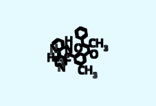 Cc1cc([C@@H](C)Nc2cccnc2-c2ccncc2F)c2oc(-c3ccccc3)c(C)c(=O)c2c1